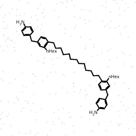 CCCCCCc1cc(Cc2ccc(N)cc2)ccc1CCCCCCCCCCCCCc1ccc(Cc2ccc(N)cc2)cc1CCCCCC